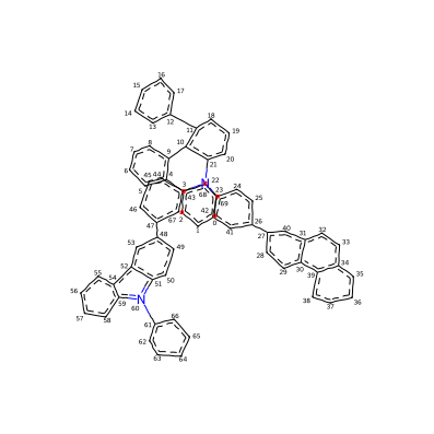 c1ccc(-c2ccccc2-c2c(-c3ccccc3)cccc2N(c2ccc(-c3ccc4c(ccc5ccccc54)c3)cc2)c2cccc(-c3ccc4c(c3)c3ccccc3n4-c3ccccc3)c2)cc1